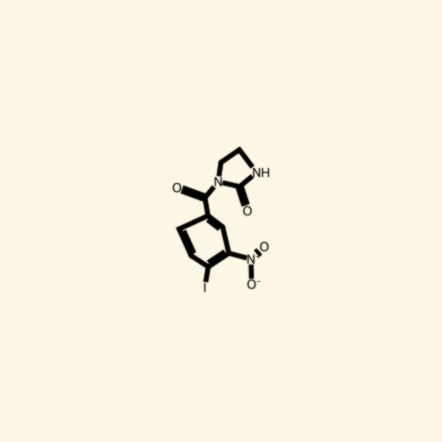 O=C1NCCN1C(=O)c1ccc(I)c([N+](=O)[O-])c1